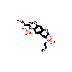 COC(=O)CN(c1cc2cc(N(CCC(C)C)S(C)(=O)=O)cnc2cc1OC)S(C)(=O)=O